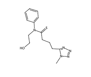 Cn1nnnc1CCCC(=S)N(CCO)c1ccccc1